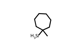 CC1([SiH3])CCCCCC1